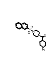 O=C(C1CCNCC1)N1CCN(S(=O)(=O)c2ccc3ccccc3c2)CC1